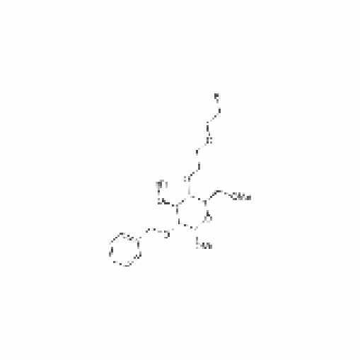 CCCO[C@H]1[C@H](OCCOCCBr)[C@@H](COC)OC(OC)[C@@H]1OCc1ccccc1